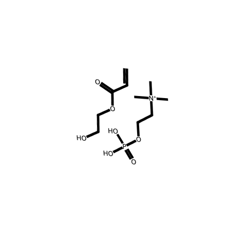 C=CC(=O)OCCO.C[N+](C)(C)CCOP(=O)(O)O